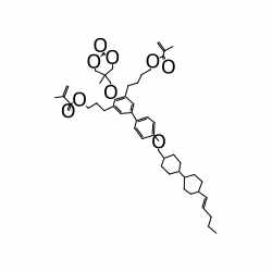 C=C(C)C(=O)OCCCCc1cc(-c2ccc(OCC3CCC(C4CCC(/C=C/CCC)CC4)CC3)cc2)cc(CCCOC(=O)C(=C)C)c1OCC1(C)COC(=O)OC1